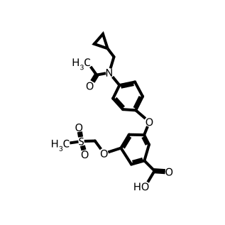 CC(=O)N(CC1CC1)c1ccc(Oc2cc(OCS(C)(=O)=O)cc(C(=O)O)c2)cc1